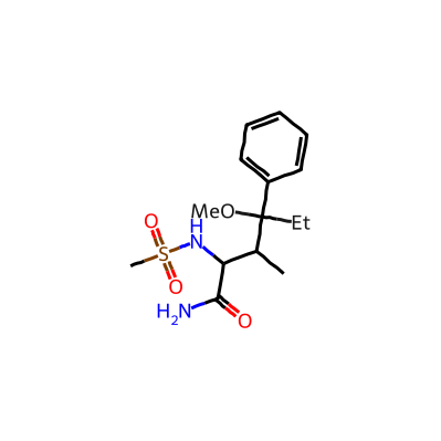 CCC(OC)(c1ccccc1)C(C)C(NS(C)(=O)=O)C(N)=O